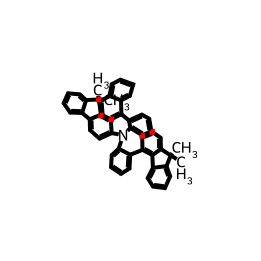 CC1(C)c2ccccc2-c2ccc(N(c3ccccc3-c3cccc4c3-c3ccccc3C4(C)C)c3ccccc3-c3cccc4ccccc34)cc21